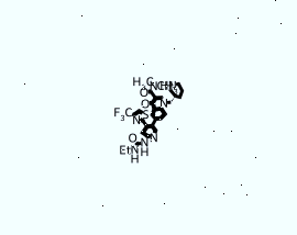 CCNC(=O)Nc1cc(-c2nc(C(F)(F)F)cs2)c(-c2ccc3c(c2)c(=O)c(C(=O)N(C)C)cn3C[C@H]2CCCNC2)cn1